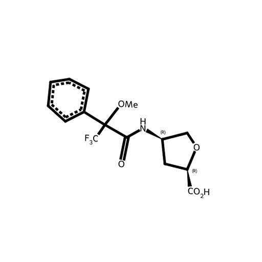 COC(C(=O)N[C@H]1CO[C@@H](C(=O)O)C1)(c1ccccc1)C(F)(F)F